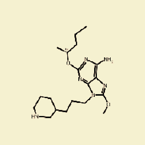 CCC[C@H](C)Oc1nc(N)c2nc(OC)n(CCCC3CCCNC3)c2n1